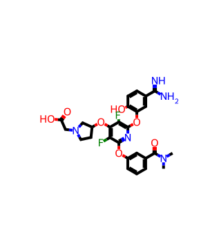 CN(C)C(=O)c1cccc(Oc2nc(Oc3cc(C(=N)N)ccc3O)c(F)c(OC3CCN(CC(=O)O)C3)c2F)c1